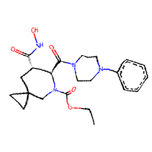 CCOC(=O)N1CC2(CC2)C[C@H](C(=O)NO)[C@H]1C(=O)N1CCN(c2ccccc2)CC1